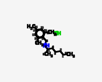 CCCCCC(C)NCc1c(C)cc(C)cc1C.Cl